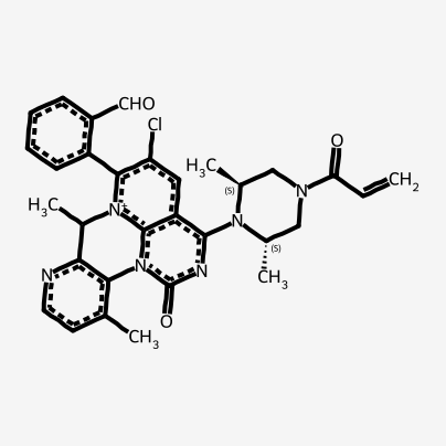 C=CC(=O)N1C[C@H](C)N(c2nc(=O)n3c4c2cc(Cl)c(-c2ccccc2C=O)[n+]4C(C)c2nccc(C)c2-3)[C@@H](C)C1